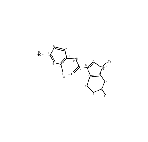 CC1CCC2=C(C1)[NH+]([O-])C=C2C(=O)Nc1ccc(O)cc1F